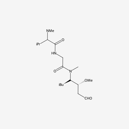 CC[C@H](C)C([C@@H](CC=O)OC)N(C)C(=O)CNC(=O)C(NC)C(C)C